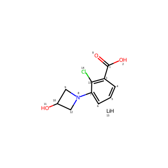 O=C(O)c1cccc(N2CC(O)C2)c1Cl.[LiH]